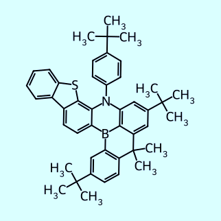 CC(C)(C)c1ccc(N2c3cc(C(C)(C)C)cc4c3B(c3cc(C(C)(C)C)ccc3C4(C)C)c3ccc4c(sc5ccccc54)c32)cc1